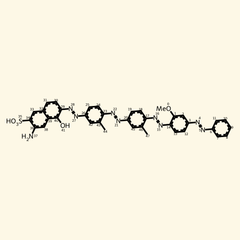 COc1cc(N=Nc2ccccc2)ccc1N=Nc1ccc(N=Nc2ccc(N=Nc3ccc4cc(S(=O)(=O)O)c(N)cc4c3O)cc2C)cc1C